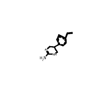 CCc1ccc(C2CN=C(N)NC2)cc1